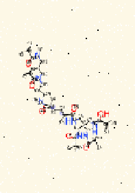 C=C(C)C(=O)NCC(CNC(=O)C(=C)C)(CNC(=O)/C(C)=C/C=C(\C)C(=O)N(C)CCCN(CCCN(C)C(=O)C(=C)C)C(=O)C(=C)C)CNC(O)C(=C)C